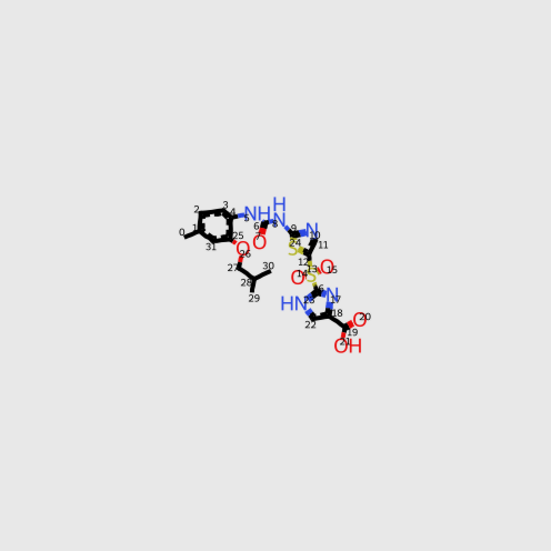 Cc1ccc(NC(=O)Nc2ncc(S(=O)(=O)c3nc(C(=O)O)c[nH]3)s2)c(OCC(C)C)c1